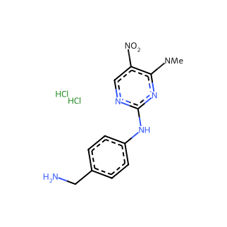 CNc1nc(Nc2ccc(CN)cc2)ncc1[N+](=O)[O-].Cl.Cl